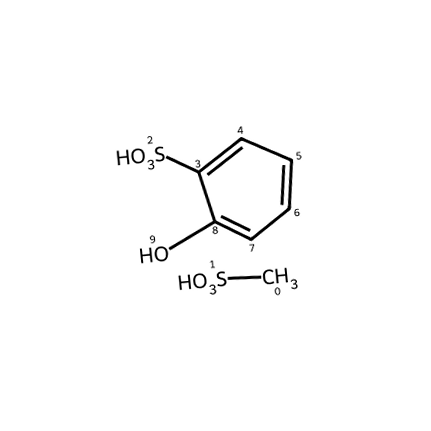 CS(=O)(=O)O.O=S(=O)(O)c1ccccc1O